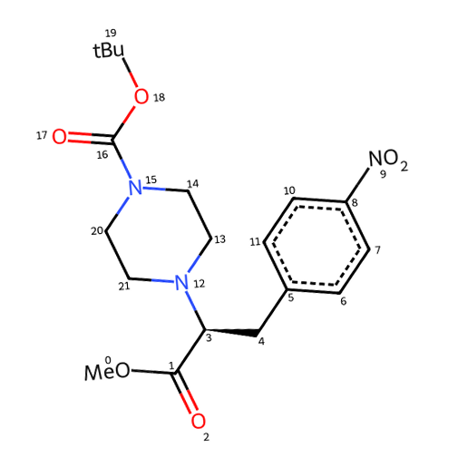 COC(=O)[C@H](Cc1ccc([N+](=O)[O-])cc1)N1CCN(C(=O)OC(C)(C)C)CC1